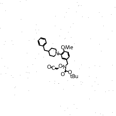 COc1ccc(CN(OC=C=O)C(=O)OC(C)(C)C)cc1N1CCC(Cc2ccccc2)CC1